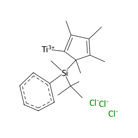 CC1=C(C)C(C)([Si](C)(c2ccccc2)C(C)(C)C)[C]([Ti+3])=C1C.[Cl-].[Cl-].[Cl-]